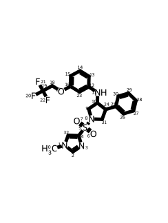 Cn1cnc(S(=O)(=O)N2CC(Nc3cccc(OCC(F)(F)F)c3)C(c3ccccc3)C2)c1